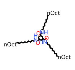 CCCCCCCCC=CCCCCCCCCNC(=O)C1CC(C(=O)NCCCCCCCCC=CCCCCCCCC)CC(C(=O)NCCCCCCCCC=CCCCCCCCC)C1